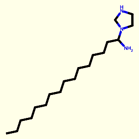 CCCCCCCCCCCCCCCC(N)N1CCNC1